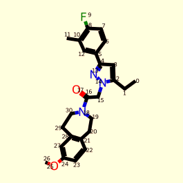 CCc1cc(-c2ccc(F)c(C)c2)nn1CC(=O)N1CCc2ccc(OC)cc2CC1